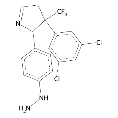 NNc1ccc(C2N=CCC2(c2cc(Cl)cc(Cl)c2)C(F)(F)F)cc1